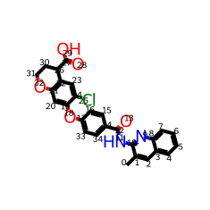 Cc1cc2ccccc2nc1NC(=O)c1ccc(Oc2cc3c(cc2Cl)C(C(=O)O)CCO3)cc1